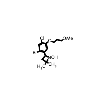 COCCCOc1cc(C2CC(C)(C)N2O)c(Br)cc1Cl